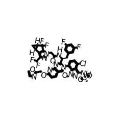 Cn1nc(NS(C)(=O)=O)c2c(Cl)ccc(-n3c([C@H](Cc4cc(F)cc(F)c4)NC(=O)Cn4nc(C(F)F)c5c4C(F)(F)[C@@H]4C[C@H]54)nc4nc(OCc5ncco5)ccc4c3=O)c21